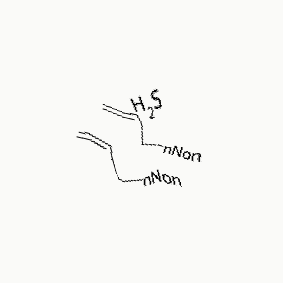 C=CCCCCCCCCCC.C=CCCCCCCCCCC.S